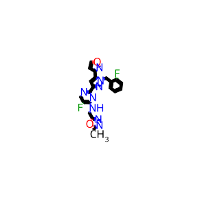 Cc1nnc(CNc2nc(-c3cc(-c4ccon4)n(Cc4ccccc4F)n3)ncc2F)o1